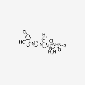 CC[C@H]1CN(c2nc(N)c(C(=O)NC3CC3)nc2Cl)CCN1C1CCN(C(=O)c2ccc(Cl)cc2O)CC1